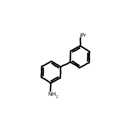 CC(C)c1cccc(-c2cccc(N)c2)c1